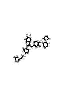 Oc1ccc2c(Cc3ccc(O[C@@H]4CCCC[C@H]4N4CCCC4)c(F)c3)c(-c3ccc(OCCN4CCCC4)cc3)sc2c1